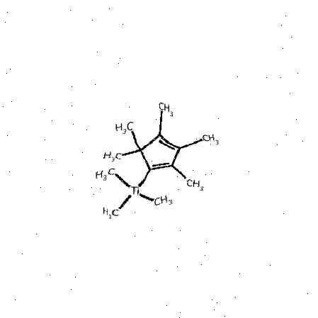 CC1=C(C)C(C)(C)[C]([Ti]([CH3])([CH3])[CH3])=C1C